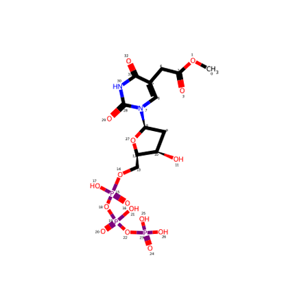 COC(=O)Cc1cn([C@H]2C[C@@H](O)[C@@H](COP(=O)(O)OP(=O)(O)OP(=O)(O)O)O2)c(=O)[nH]c1=O